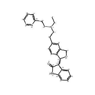 CCN(CCc1ccc2c(c1)CO/C2=C1/C(=O)Nc2ccccc21)CCc1ccccn1